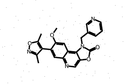 COc1cc2c(cc1-c1c(C)noc1C)ncc1oc(=O)n(Cc3cccnc3)c12